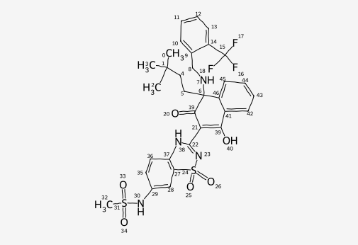 CC(C)(C)CCC1(NCc2ccccc2C(F)(F)F)C(=O)C(C2=NS(=O)(=O)c3cc(NS(C)(=O)=O)ccc3N2)=C(O)c2ccccc21